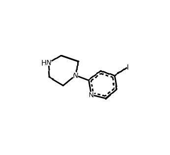 Ic1ccnc(N2CCNCC2)c1